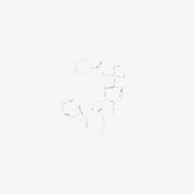 C[C@@H]1CC[C@@H](c2ccccc2)S(=O)(=O)N1Cc1cc(F)c(C2(NC(=O)C3CCOC3)COC2)cc1F